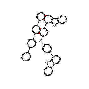 c1ccc(-c2ccc(-c3ccc(-c4ccccc4)cc3N(c3ccc(-c4cccc5c4oc4ccccc45)cc3)c3ccc(-c4cccc5c4oc4ccccc45)cc3)cc2)cc1